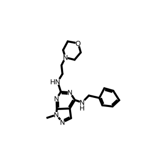 Cn1ncc2c(NCc3ccccc3)nc(NCCN3CCOCC3)nc21